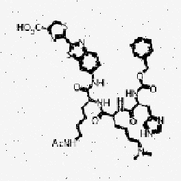 CC(=O)NCCCC[C@H](NC(=O)[C@H](CCCCN(C)C)NC(=O)[C@H](Cc1c[nH]cn1)NC(=O)OCc1ccccc1)C(=O)Nc1ccc2nc(C3=N[C@@H](C(=O)O)CS3)sc2c1